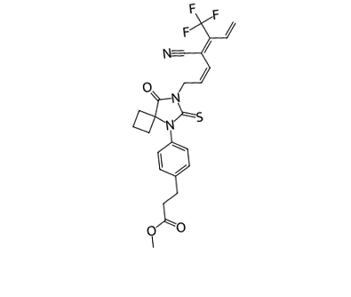 C=C/C(=C(C#N)\C=C/CN1C(=O)C2(CCC2)N(c2ccc(CCC(=O)OC)cc2)C1=S)C(F)(F)F